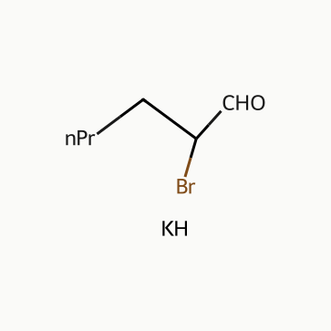 CCCCC(Br)C=O.[KH]